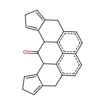 O=C1C2C3=CCC=C3Cc3ccc4ccc5c(c4c32)C1C1=CCC=C1C5